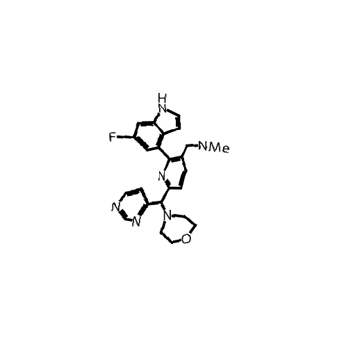 CNCc1ccc(C(c2ccncn2)N2CCOCC2)nc1-c1cc(F)cc2[nH]ccc12